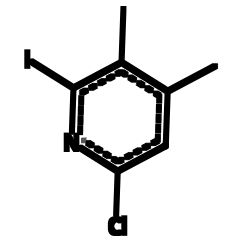 Cc1cc(Cl)nc(I)c1C